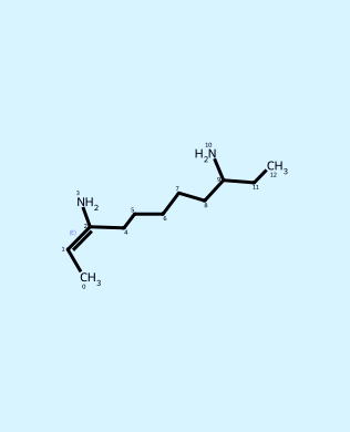 C/C=C(/N)CCCCCC(N)CC